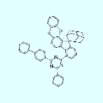 c1ccc(-c2ccc(-c3nc(-c4ccccc4)nc(-c4cccc5c4-c4ccc6c(c4C54C5CC7CC(C5)CC4C7)Oc4ccccc4O6)n3)cc2)cc1